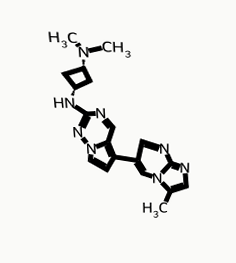 Cc1cnc2ncc(-c3ccn4nc(N[C@H]5C[C@@H](N(C)C)C5)ncc34)cn12